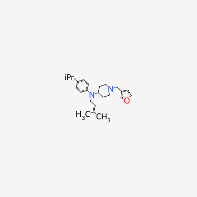 CC(C)=CCN(c1ccc(C(C)C)cc1)C1CCN(Cc2ccoc2)CC1